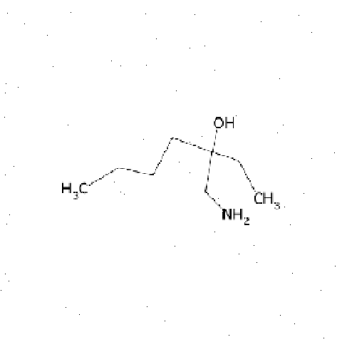 CCCCC(O)(CC)CN